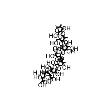 CC1[C@H](O[C@@H]2C(CO)O[C@@H](C)C(C)[C@H]2O)OC(CO)[C@@H](O[C@@H]2OC(CO)[C@@H](O)C(O[C@H]3O[C@H](CO)[C@@H](O)C(O)C3O[C@@H]3OC(CO)[C@@H](O[C@@H]4OC(CO)[C@H](O)C(O[C@]5(C(=O)O)C[C@@H](O)[C@@H](N)C([C@H](O)[C@H](O)CO)O5)[C@@H]4O)C(O)[C@@H]3C)[C@H]2O)[C@@H]1O